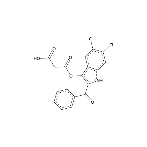 O=C(O)CC(=O)Oc1c(C(=O)c2ccccc2)[nH]c2cc(Cl)c(Cl)cc12